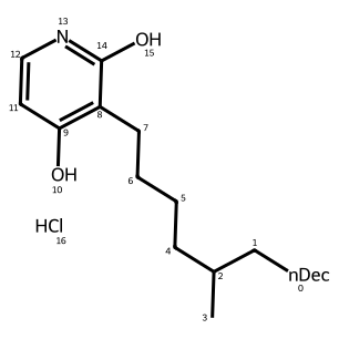 CCCCCCCCCCCC(C)CCCCc1c(O)ccnc1O.Cl